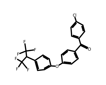 O=C(c1ccc(Cl)cc1)c1ccc(Oc2ccc(C(C(F)(F)F)C(F)(F)F)cc2)cc1